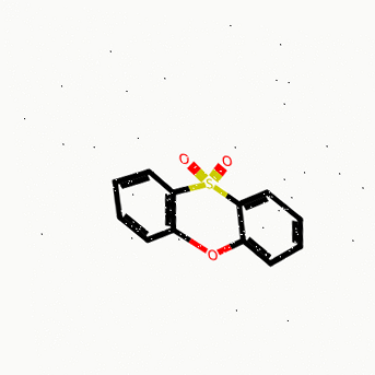 O=S1(=O)c2[c]cccc2Oc2ccccc21